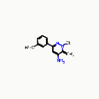 C=C1C(N)=CC(c2cccc(OC)c2)=NN1CC